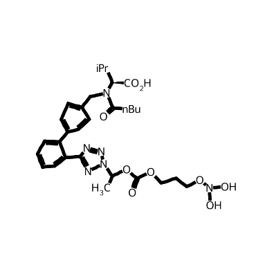 CCCCC(=O)N(Cc1ccc(-c2ccccc2-c2nnn(C(C)OC(=O)OCCCON(O)O)n2)cc1)[C@H](C(=O)O)C(C)C